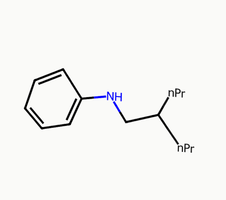 CCCC(CCC)CNc1ccccc1